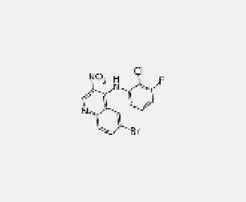 O=[N+]([O-])c1cnc2ccc(Br)cc2c1Nc1cccc(F)c1Cl